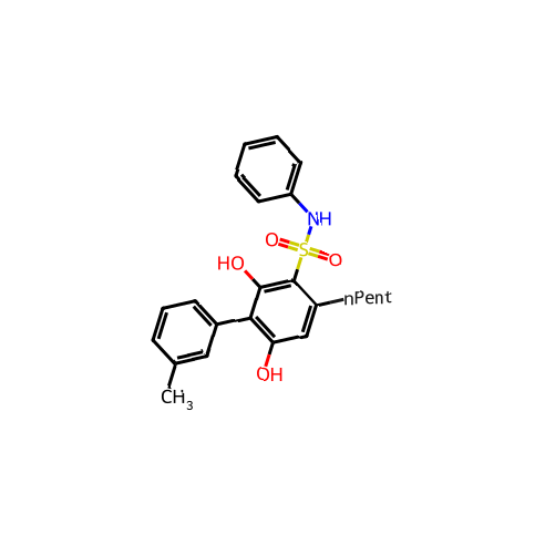 CCCCCc1cc(O)c(-c2cccc(C)c2)c(O)c1S(=O)(=O)Nc1ccccc1